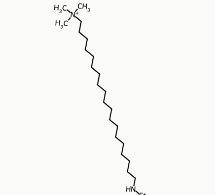 CCNCCCCCCCCCCCCCCCCCCC[N+](C)(C)C